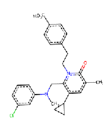 Cc1cc(C2CC2)c(CN(C)c2cccc(Cl)c2)n(CCc2ccc(C(=O)O)cc2)c1=O